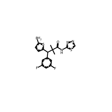 Bc1ccc(C(c2cc(F)cc(F)c2)C(C)(C)C(=O)Nc2nncs2)s1